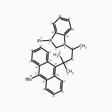 CC(C)N1CN(C(C)CC(C)(C)c2c3ccccc3c(C(C)(C)C)c3ccccc23)c2ccccc21